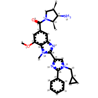 COc1cc(C(=O)N2C[C@@H](C)[C@@H](N)[C@H]2C)cc2nc(-c3cn(CC4CC4)c(-c4ccccc4)n3)n(C)c12